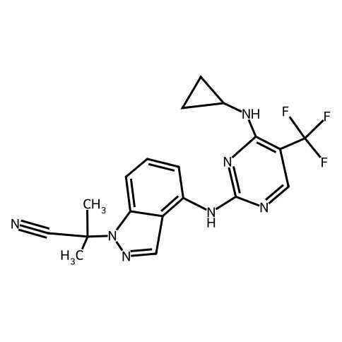 CC(C)(C#N)n1ncc2c(Nc3ncc(C(F)(F)F)c(NC4CC4)n3)cccc21